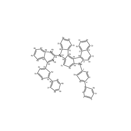 c1ccc(-c2ccc(-n3c4ccc5ccccc5c4c4c5c6ccccc6n(-c6nc(-c7cccc(-c8ccccc8)c7)c7ccccc7n6)c5ccc43)cc2)cc1